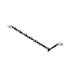 CCCCCCCCCCCCCCCCCCCC(=O)OCCOCCOCCOCCOCCOCCOCCOCCOCCOCCOCCOCCOCCO